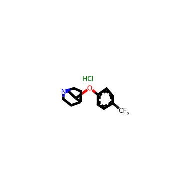 Cl.FC(F)(F)c1ccc(OC2CN3CCC2CC3)cc1